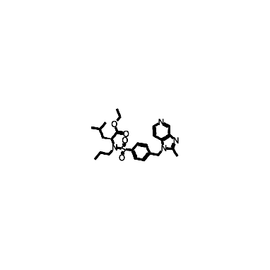 CCCN([C@@H](CC(C)C)C(=O)OCC)S(=O)(=O)c1ccc(Cn2c(C)nc3cnccc32)cc1